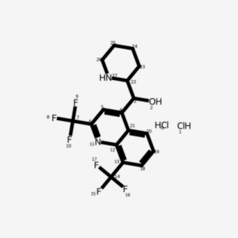 Cl.Cl.OC(c1cc(C(F)(F)F)nc2c(C(F)(F)F)cccc12)C1CCCCN1